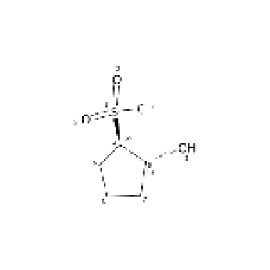 O=S(=O)(Cl)[C@@H]1CCC[C@H]1O